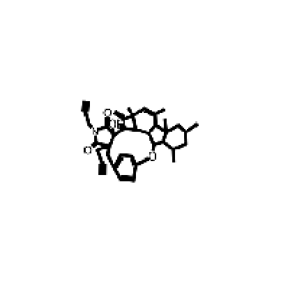 C#CCN1C(=O)C2(CC#C)Cc3ccc(cc3)OC3C4C(C(=O)C2(O)C1=O)C(C)(C=C)C=C(C)C4C1(C)CC(C)CC(C)C31